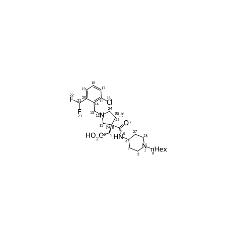 CCCCCCN1CCC(NC(=O)[C@]2(CC(=O)O)CN(Cc3c(Cl)cccc3C(F)F)C[C@@H]2C)CC1